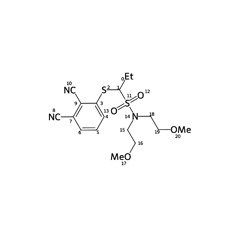 CCC(Sc1cccc(C#N)c1C#N)S(=O)(=O)N(CCOC)CCOC